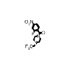 O=C(c1ccc([N+](=O)[O-])cc1F)N1CCN(CC(F)(F)F)CC1